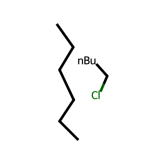 CCCCCC.CCCCCCl